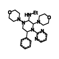 CCNC1C(N2CCOCC2)N(c2ncccn2)C(c2ccccc2)CN1N1CCOCC1